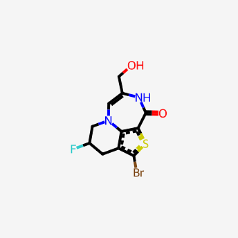 O=C1NC(CO)=CN2CC(F)Cc3c(Br)sc1c32